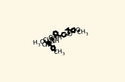 COc1ccc(C2(C(=O)N3CCC(Cc4ccccc4NC(=O)Nc4cc(C(C)(C)C)nn4-c4ccc(C)cc4)CC3)CC2)cc1